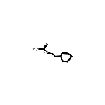 NC(=S)NCCC1C=CCCC1